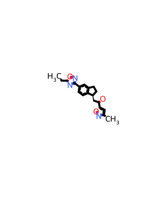 CCc1nc(-c2ccc3c(c2)CC[C@H]3CC(=O)c2cc(C)no2)no1